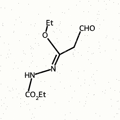 CCOC(=O)NN=C(CC=O)OCC